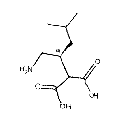 CC(C)C[C@H](CN)C(C(=O)O)C(=O)O